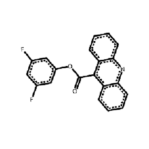 O=C(Oc1cc(F)cc(F)c1)c1c2ccccc2nc2ccccc12